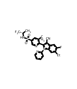 CCc1cc2c(cc1F)c(C#N)c(-c1ncc(S(=O)(=O)N[C@@H](C)C(F)(F)F)cc1C)n2-c1ccccn1